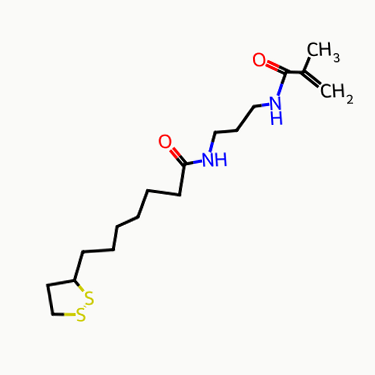 C=C(C)C(=O)NCCCNC(=O)CCCCCCC1CCSS1